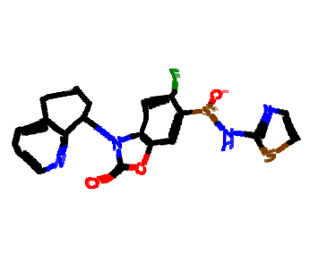 O=c1oc2cc([S+]([O-])Nc3nccs3)c(F)cc2n1C1CCCc2cccnc21